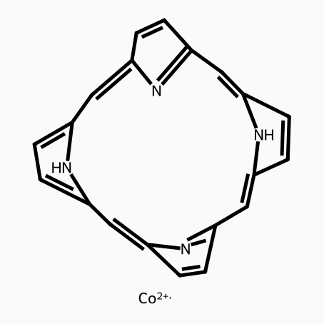 C1=Cc2cc3ccc(cc4nc(cc5ccc(cc1n2)[nH]5)C=C4)[nH]3.[Co+2]